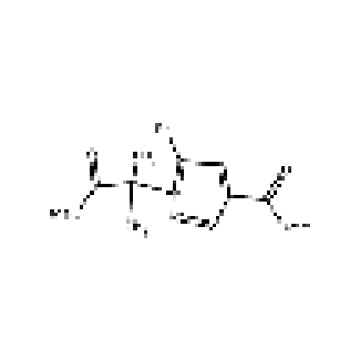 COC(=O)c1ccc(C(C)(C)C(=O)OC)c(Br)c1